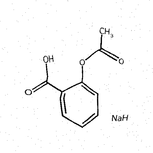 CC(=O)Oc1ccccc1C(=O)O.[NaH]